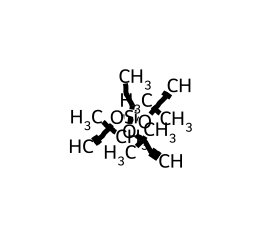 C#CC(C)(C)O[Si](CCC)(OC(C)(C)C#C)OC(C)(C)C#C